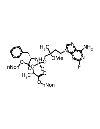 CCCCCCCCCOC(=O)[C@H](Cc1ccccc1)NP(=O)(OC[C@](C)(CCn1cnc2c(N)nc(F)nc21)OC)O[C@@H](C)C(=O)OCCCCCCCCC